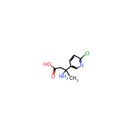 CC(N)(CC(=O)O)c1ccc(Cl)nc1